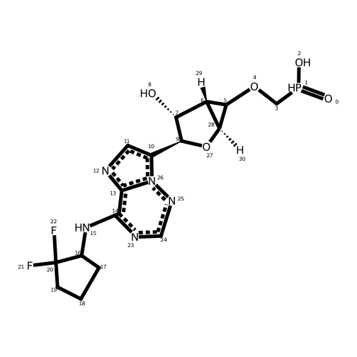 O=[PH](O)COC1[C@H]2[C@@H](O)[C@H](c3cnc4c(NC5CCCC5(F)F)ncnn34)O[C@H]12